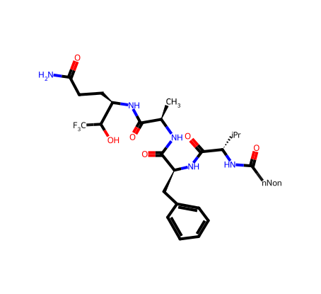 CCCCCCCCCC(=O)N[C@H](C(=O)N[C@@H](Cc1ccccc1)C(=O)N[C@H](C)C(=O)N[C@H](CCC(N)=O)C(O)C(F)(F)F)C(C)C